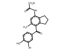 CCOC(=O)C(=O)Nc1cc(C)c(C(=O)c2ccc(O)c(C(C)C)c2)c2c1CCC2